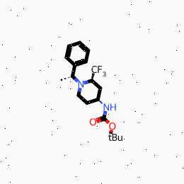 C[C@H](c1ccccc1)N1CC[C@@H](NC(=O)OC(C)(C)C)C[C@@H]1C(F)(F)F